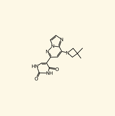 CC1(C)CN(c2cc(-c3c[nH]c(=O)[nH]c3=O)nn3ccnc23)C1